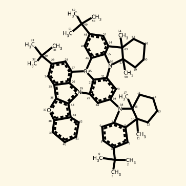 CC(C)(C)c1ccc2c(c1)C1(C)CCCCC1(C)N2c1cc2c3c(c1)-n1c4c(cc(C(C)(C)C)cc4c4oc5ccccc5c41)B3c1cc(C(C)(C)C)cc3c1N2C1(C)CCCCC31C